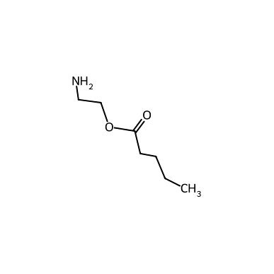 CCCCC(=O)OCCN